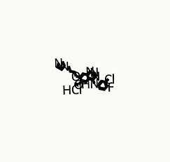 COc1cc2c(Nc3ccc(F)c(Cl)c3)nnnc2cc1OCCCn1ccnc1.Cl